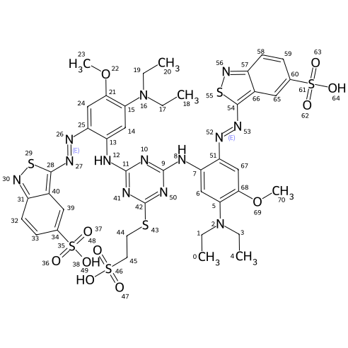 CCN(CC)c1cc(Nc2nc(Nc3cc(N(CC)CC)c(OC)cc3/N=N/c3snc4ccc(S(=O)(=O)O)cc34)nc(SCCS(=O)(=O)O)n2)c(/N=N/c2snc3ccc(S(=O)(=O)O)cc23)cc1OC